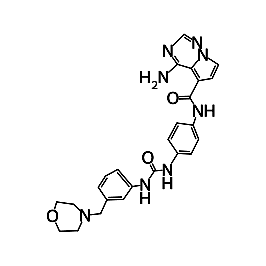 Nc1ncnn2ccc(C(=O)Nc3ccc(NC(=O)Nc4cccc(CN5CCOCC5)c4)cc3)c12